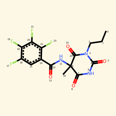 CCCN1C(=O)NC(=O)C(C)(NC(=O)c2cc(F)c(F)c(F)c2F)C1=O